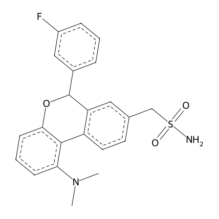 CN(C)c1cccc2c1-c1ccc(CS(N)(=O)=O)cc1C(c1cccc(F)c1)O2